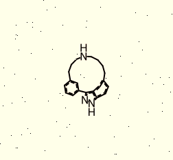 c1cc2cc(c1)-c1n[nH]c3ccc(cc13)CCCCNCCC2